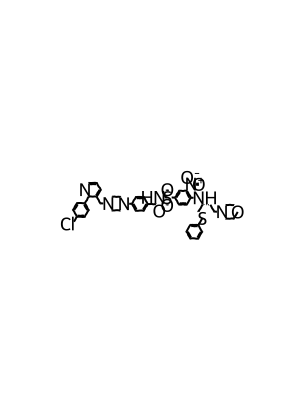 O=C(NS(=O)(=O)c1ccc(N[C@H](CCN2CCOCC2)CSc2ccccc2)c([N+](=O)[O-])c1)c1ccc(N2CCN(Cc3cccnc3-c3ccc(Cl)cc3)CC2)cc1